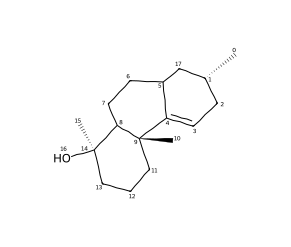 C[C@@H]1CC=C2C(CCC3[C@@]2(C)CCC[C@@]3(C)O)C1